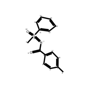 Cc1ccc(C(=O)N=S(C)(=O)c2ccccc2)cc1